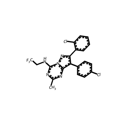 Cc1nc(NCC(F)(F)F)n2nc(-c3ccccc3Cl)c(-c3ccc(Cl)cc3)c2n1